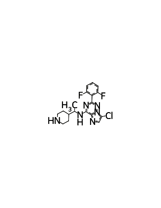 CC(Nc1nc(-c2c(F)cccc2F)nn2c(Cl)cnc12)C1CCNCC1